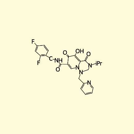 CC(C)N1CN(Cc2ccccn2)n2cc(C(=O)NCc3ccc(F)cc3F)c(=O)c(O)c2C1=O